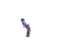 O=C(NC1CCN(Cc2cccnc2)CC1)c1ccc(OC2CCN(c3ccc(C(F)(F)F)cc3)CC2)cn1